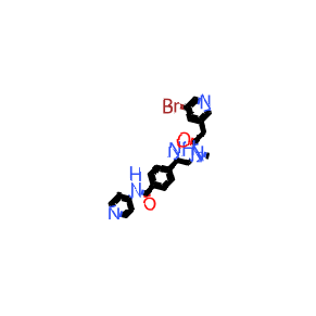 CN(CC(N)c1ccc(C(=O)Nc2ccncc2)cc1)C(=O)Cc1cncc(Br)c1